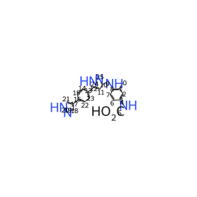 Cc1cc(NC(=O)O)ccc1Nc1cc(-c2ccc(-c3cn[nH]c3)cc2)[nH]n1